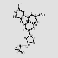 CC(C)(C)c1cc(-c2cc(F)c[nH]c2=O)c2ncc(N3CC[C@H](CNS(C)(=O)=O)C3)nc2c1